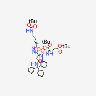 C[C@@H](CCCCNC(=O)OC(C)(C)C)c1nnc([C@H](CC(=O)NC(c2ccccc2)(c2ccccc2)c2ccccc2)NC(=O)N[C@@H](CCC(=O)OC(C)(C)C)C(=O)OC(C)(C)C)o1